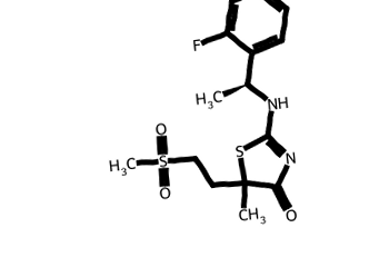 C[C@H](NC1=NC(=O)C(C)(CCS(C)(=O)=O)S1)c1ccccc1F